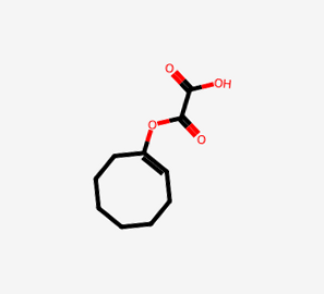 O=C(O)C(=O)OC1=CCCCCCC1